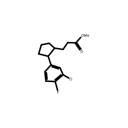 COC(=O)CCC1CCCC1c1ccc(F)c(Cl)c1